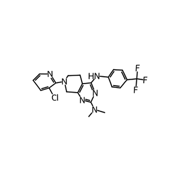 CN(C)c1nc2c(c(Nc3ccc(C(F)(F)F)cc3)n1)CCN(c1ncccc1Cl)C2